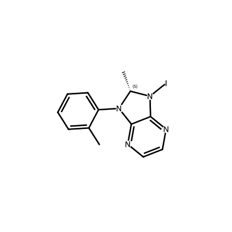 Cc1ccccc1N1c2nccnc2N(I)[C@H]1C